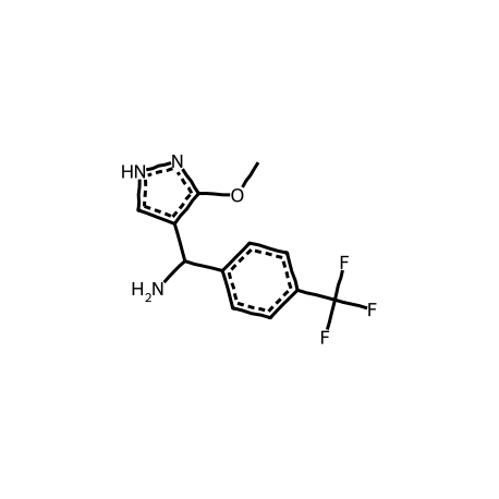 COc1n[nH]cc1C(N)c1ccc(C(F)(F)F)cc1